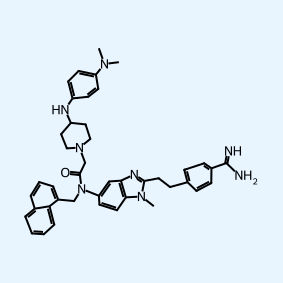 CN(C)c1ccc(NC2CCN(CC(=O)N(Cc3cccc4ccccc34)c3ccc4c(c3)nc(CCc3ccc(C(=N)N)cc3)n4C)CC2)cc1